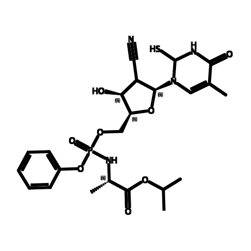 CC1=CN([C@H]2O[C@@H](COP(=O)(N[C@@H](C)C(=O)OC(C)C)Oc3ccccc3)[C@@H](O)C2C#N)C(S)NC1=O